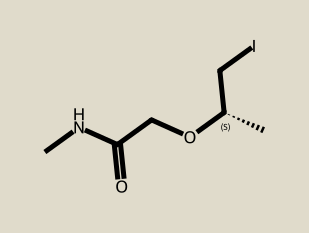 CNC(=O)CO[C@@H](C)CI